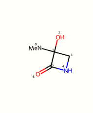 CNC1(O)CNC1=O